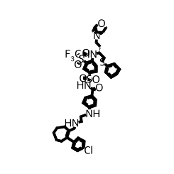 O=C(NS(=O)(=O)c1ccc(N[C@H](CCN2CC3CC2CO3)CSc2ccccc2)c(S(=O)(=O)C(F)(F)F)c1)c1ccc(NCCNCC2=C(c3ccc(Cl)cc3)CCCCC2)cc1